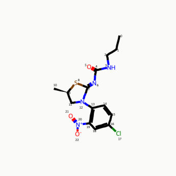 CCCNC(=O)N=C1S[C@H](C)CN1c1ccc(Cl)cc1[N+](=O)[O-]